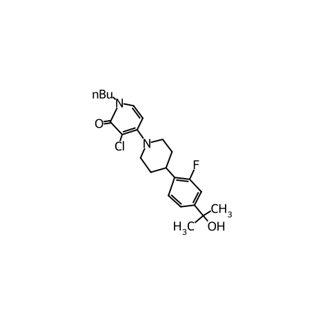 CCCCn1ccc(N2CCC(c3ccc(C(C)(C)O)cc3F)CC2)c(Cl)c1=O